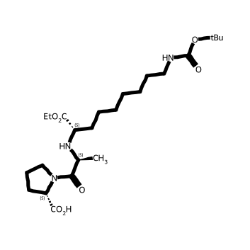 CCOC(=O)[C@H](CCCCCCCNC(=O)OC(C)(C)C)N[C@@H](C)C(=O)N1CCC[C@H]1C(=O)O